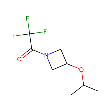 CC(C)OC1CN(C(=O)C(F)(F)F)C1